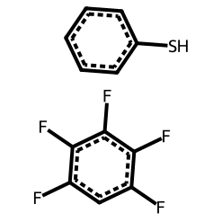 Fc1cc(F)c(F)c(F)c1F.Sc1ccccc1